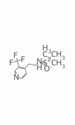 CC(C)(C)[S@+]([O-])NCCc1ccncc1C(F)(F)F